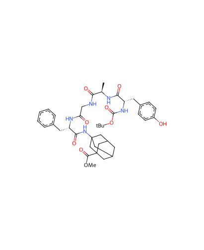 COC(=O)C12CC3CC(CC(NC(=O)[C@H](Cc4ccccc4)NC(=O)CNC(=O)[C@@H](C)NC(=O)[C@H](Cc4ccc(O)cc4)NC(=O)OC(C)(C)C)(C3)C1)C2